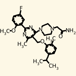 COc1ccc(F)cc1-c1nc(C)c(COc2cc(C(C)C)ccc2C)c(N2CCN(CC(N)=O)CC2)n1